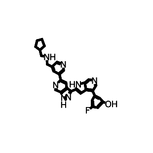 Oc1cc(F)cc(-c2cncc3[nH]c(-c4n[nH]c5cnc(-c6cncc(CNCC7CCCC7)c6)cc45)cc23)c1